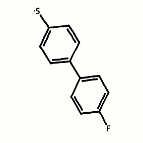 Fc1ccc(-c2ccc([S])cc2)cc1